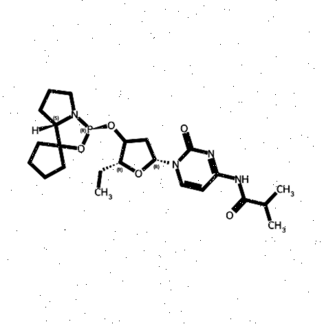 CC[C@H]1O[C@@H](n2ccc(NC(=O)C(C)C)nc2=O)CC1O[P@@]1OC2(CCCC2)[C@@H]2CCCN21